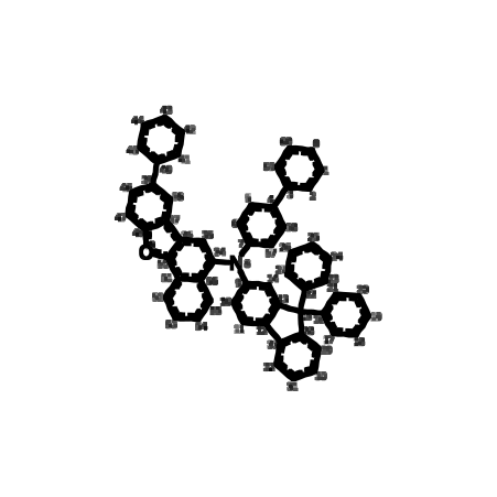 c1ccc(-c2ccc(N(c3ccc4c(c3)C(c3ccccc3)(c3ccccc3)c3ccccc3-4)c3cc4c5cc(-c6ccccc6)ccc5oc4c4ccccc34)cc2)cc1